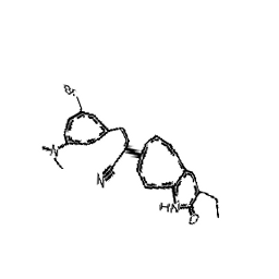 CCc1cc2ccc(/C(C#N)=C/c3cc(Br)cc(N(C)C)c3)cc2[nH]c1=O